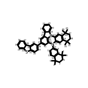 CC1(C)CCC(C)(C)c2cc(N3c4cc5c(cc4B4c6ccccc6-c6cc(-c7ccc8sc9ccccc9c8c7)cc3c64)C(C)(C)CCC5(C)C)ccc21